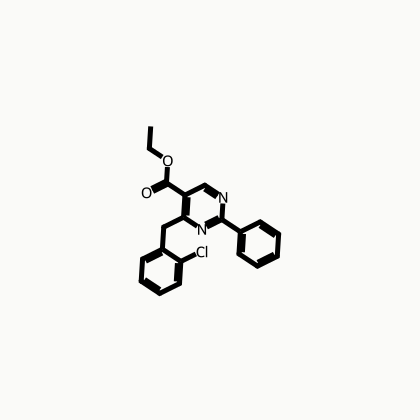 CCOC(=O)c1cnc(-c2ccccc2)nc1Cc1ccccc1Cl